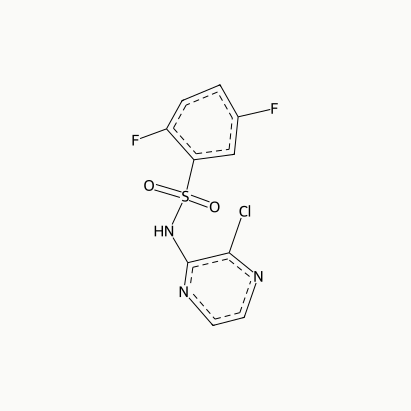 O=S(=O)(Nc1nccnc1Cl)c1cc(F)ccc1F